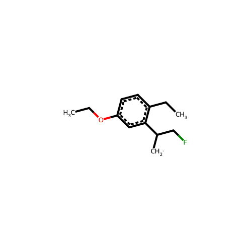 [CH2]C(CF)c1cc(OCC)ccc1CC